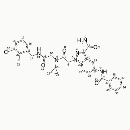 NC(=O)c1nn(CC(=O)N(CC(=O)NCc2cccc(Cl)c2F)C2CC2)c2ccc(NC(=O)c3ccccc3)cc12